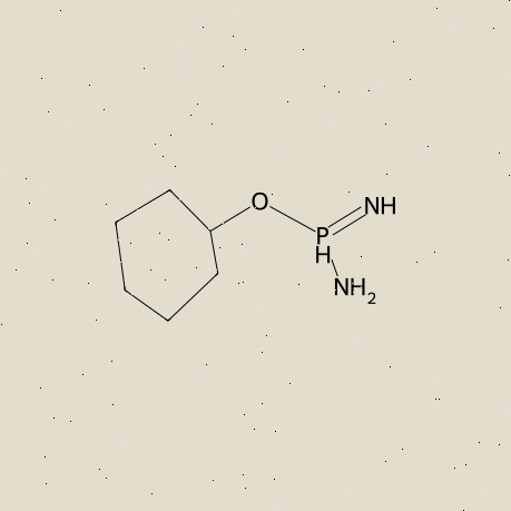 N=[PH](N)OC1CCCCC1